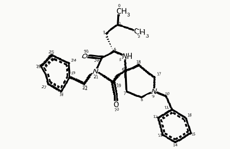 CC(C)C[C@@H]1NC2(CCN(Cc3ccccc3)CC2)C(=O)N(Cc2ccccc2)C1=O